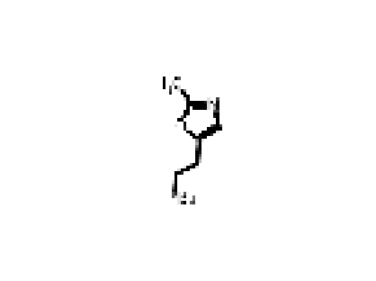 [CH2]CCCCCc1cnc(C)o1